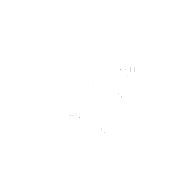 O=C(NC1N=C(c2ccccc2)c2ccccc2NC1=O)c1ccccc1.O=C(O)c1cc(F)cc2c1OCOC2